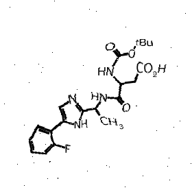 CC(NC(=O)C(CC(=O)O)NC(=O)OC(C)(C)C)c1ncc(-c2ccccc2F)[nH]1